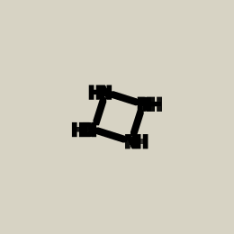 [NH]1[BiH][NH][BiH]1